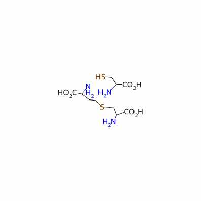 NC(CCSCC(N)C(=O)O)C(=O)O.N[C@@H](CS)C(=O)O